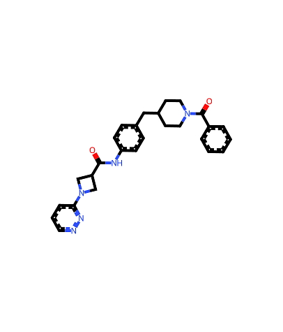 O=C(Nc1ccc(CC2CCN(C(=O)c3ccccc3)CC2)cc1)C1CN(c2cccnn2)C1